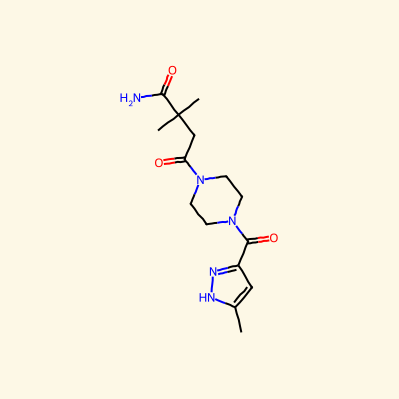 Cc1cc(C(=O)N2CCN(C(=O)CC(C)(C)C(N)=O)CC2)n[nH]1